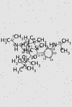 CC(C)Nc1cccc(C(OC(c2cccc(NC(C)C)c2)[Si](C)(C)C(C)(C)C)[Si](C)(C)C(C)(C)C)c1